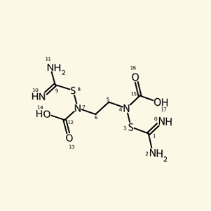 N=C(N)SN(CCN(SC(=N)N)C(=O)O)C(=O)O